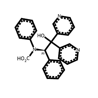 O=C(O)N(c1ccccc1)[C@H](c1ccccc1)C(O)(c1cccnc1)c1cccnc1